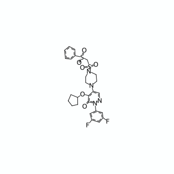 O=c1c(OC2CCCC2)c(N2CCN(S(=O)(=O)CS(=O)(=O)c3ccccc3)CC2)cnn1-c1cc(F)cc(F)c1